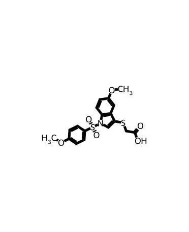 COc1ccc(S(=O)(=O)n2cc(SCC(=O)O)c3cc(OC)ccc32)cc1